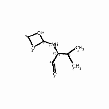 CC(C)[C@@H](C=O)NC1OCO1